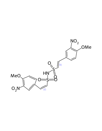 COc1ccc(/C=C\S(=O)(=O)NS(=O)(=O)/C=C/c2ccc(OC)c([N+](=O)[O-])c2)cc1[N+](=O)[O-]